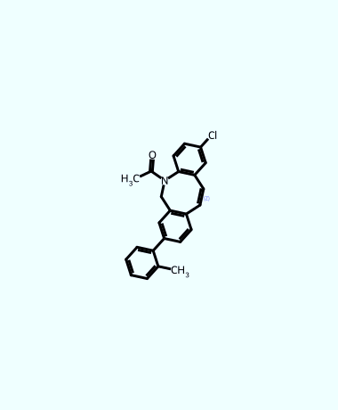 CC(=O)N1Cc2cc(-c3ccccc3C)ccc2/C=C\c2cc(Cl)ccc21